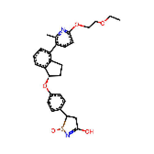 CCOCCOc1ccc(-c2cccc3c2CC[C@H]3Oc2ccc(C3CC(O)=N[S+]3[O-])cc2)c(C)n1